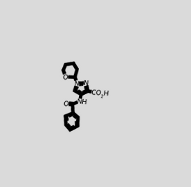 O=C(Nc1cn(C2CCCCO2)nc1C(=O)O)c1ccccc1